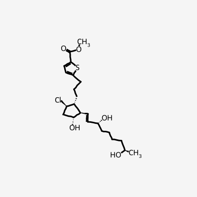 COC(=O)c1ccc(CCC[C@@H]2[C@@H](C=C[C@H](O)CCCC[C@@H](C)O)[C@H](O)C[C@H]2Cl)s1